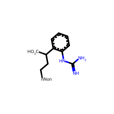 CCCCCCCCCCCC(C(=O)O)c1ccccc1NC(=N)N